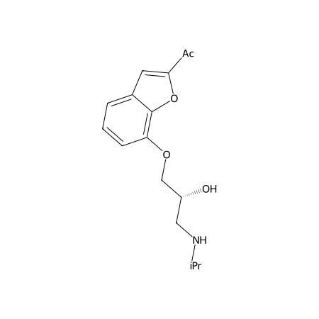 CC(=O)c1cc2cccc(OC[C@H](O)CNC(C)C)c2o1